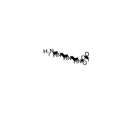 NCCNCCCNCCCNC(=O)OC(=O)I